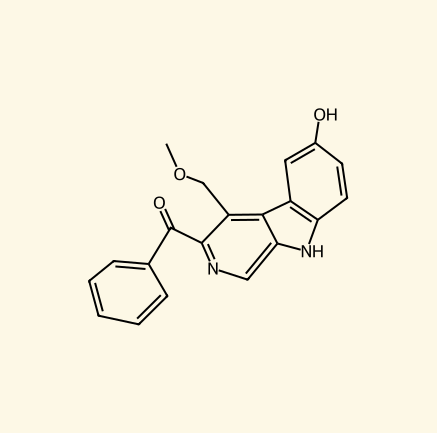 COCc1c(C(=O)c2ccccc2)ncc2[nH]c3ccc(O)cc3c12